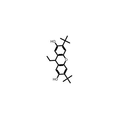 CCC1c2cc(O)c(C(C)(C)C)cc2Oc2cc(C(C)(C)C)c(O)cc21